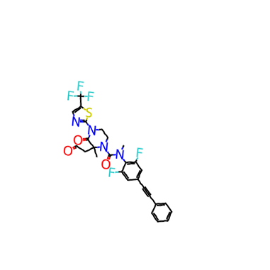 CN(C(=O)N1CCN(c2ncc(C(F)(F)F)s2)C(=O)C1(C)CC=O)c1c(F)cc(C#Cc2ccccc2)cc1F